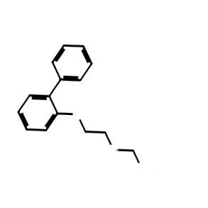 [CH2]COCCOc1ccccc1-c1ccccc1